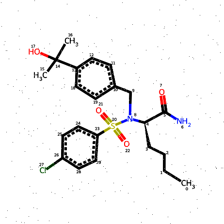 CCCC[C@H](C(N)=O)N(Cc1ccc(C(C)(C)O)cc1)S(=O)(=O)c1ccc(Cl)cc1